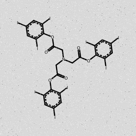 O=C(CN(CC(=O)Oc1c(I)cc(I)cc1I)CC(=O)Oc1c(I)cc(I)cc1I)Oc1c(I)cc(I)cc1I